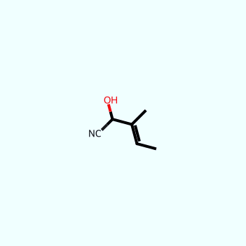 CC=C(C)C(O)C#N